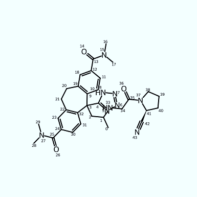 CC(CC1(c2nnn[nH]2)c2ccc(C(=O)N(C)C)cc2CCc2cc(C(=O)N(C)C)ccc21)NCC(=O)N1CCC[C@H]1C#N